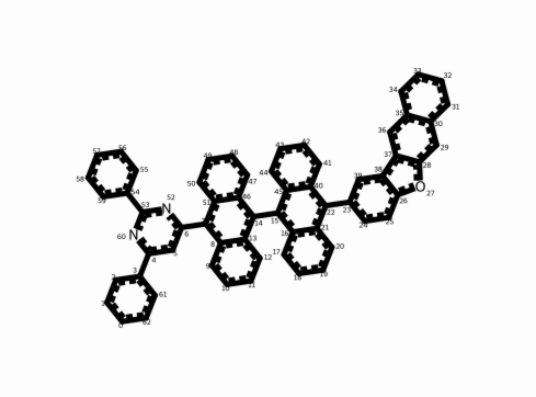 c1ccc(-c2cc(-c3c4ccccc4c(-c4c5ccccc5c(-c5ccc6oc7cc8ccccc8cc7c6c5)c5ccccc45)c4ccccc34)nc(-c3ccccc3)n2)cc1